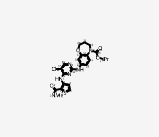 CNC(=O)c1sccc1Nc1nc(Nc2ccc3c(c2)OCCCN3C(=O)OC(C)C)ncc1Cl